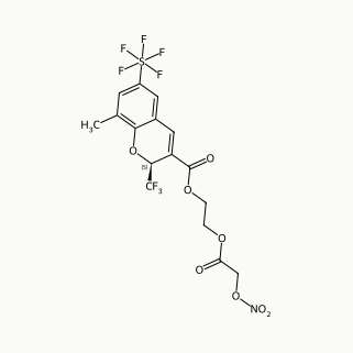 Cc1cc(S(F)(F)(F)(F)F)cc2c1O[C@H](C(F)(F)F)C(C(=O)OCCOC(=O)CO[N+](=O)[O-])=C2